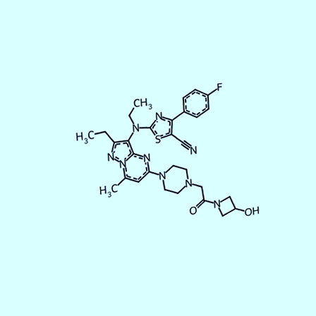 CCc1nn2c(C)cc(N3CCN(CC(=O)N4CC(O)C4)CC3)nc2c1N(CC)c1nc(-c2ccc(F)cc2)c(C#N)s1